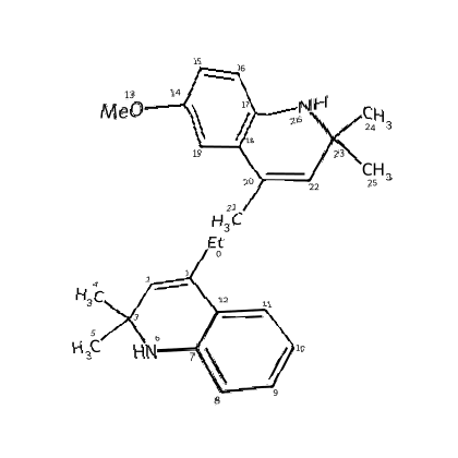 CCC1=CC(C)(C)Nc2ccccc21.COc1ccc2c(c1)C(C)=CC(C)(C)N2